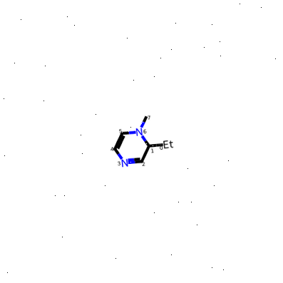 CCC1C=NC=CN1C